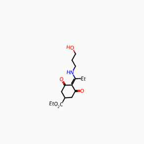 CCOC(=O)C1CC(=O)C(=C(CC)NCCCO)C(=O)C1